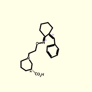 O=C(O)[C@@H]1CCCN(CCO/N=C2\CCCC\C2=C\c2ccccc2)C1